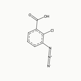 [N-]=[N+]=Nc1cccc(C(=O)O)c1Cl